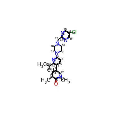 Cc1cc(-c2ccc(N3CCN(Cc4ncc(Cl)cn4)CC3)nc2C(C)C)cn(C)c1=O